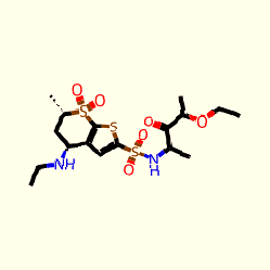 CCN[C@H]1C[C@H](C)S(=O)(=O)c2sc(S(=O)(=O)NC(C)C(=O)C(C)OCC)cc21